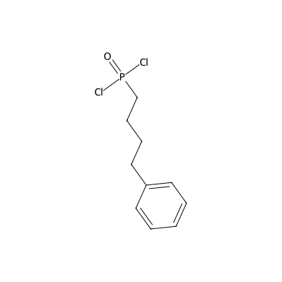 O=P(Cl)(Cl)CCCCc1ccccc1